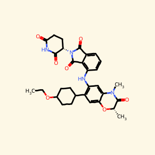 CCOC1CCC(c2cc3c(cc2Nc2cccc4c2C(=O)N([C@H]2CCC(=O)NC2=O)C4=O)N(C)C(=O)[C@H](C)O3)CC1